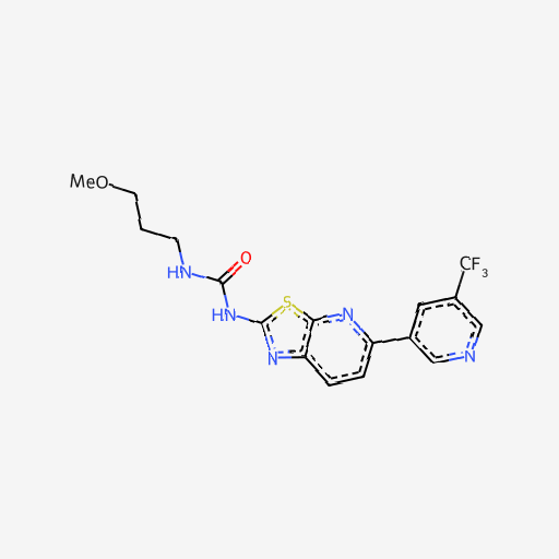 COCCCNC(=O)Nc1nc2ccc(-c3cncc(C(F)(F)F)c3)nc2s1